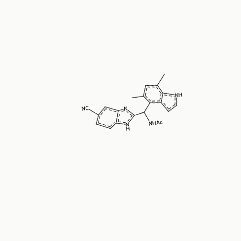 CC(=O)NC(c1nc2cc(C#N)ccc2[nH]1)c1c(C)cc(C)c2[nH]ccc12